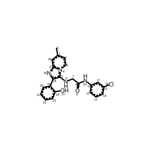 Cc1ccn2c(NCC(=O)Nc3cccc(Cl)c3)c(-c3ccccc3O)nc2c1